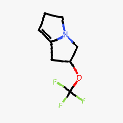 FC(F)(F)OC1CC2=CCCN2C1